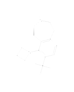 FC(F)(F)c1ccc2c(c1N1CCC1)CCNCC2